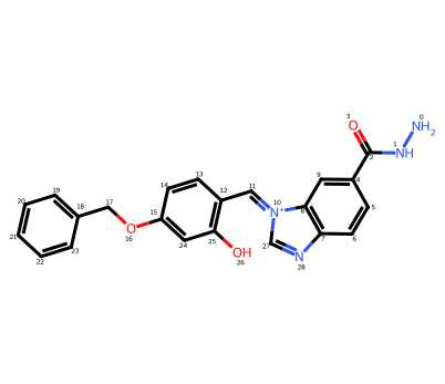 NNC(=O)c1ccc2c(c1)[N+](=Cc1ccc(OCc3ccccc3)cc1O)C=N2